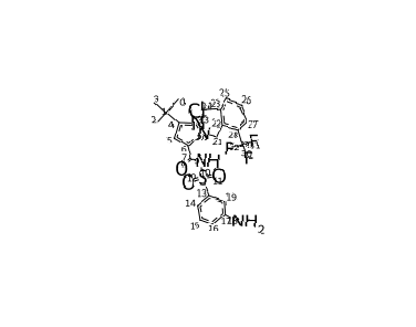 CC(C)(C)c1cc(C(=O)NS(=O)(=O)c2cccc(N)c2)n(Cc2c(Cl)cccc2C(F)(F)F)n1